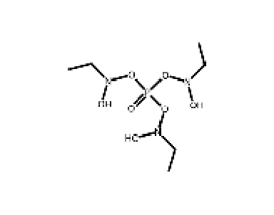 CCN(O)OP(=O)(ON(O)CC)ON(O)CC